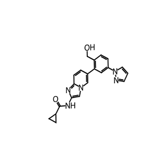 O=C(Nc1cn2cc(-c3cc(-n4cccn4)ccc3CO)ccc2n1)C1CC1